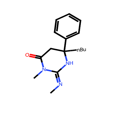 CCCCC1(c2ccccc2)CC(=O)N(C)/C(=N\C)N1